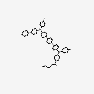 C=C/C=C\C=C(/C)c1ccc(N(c2ccc(C)cc2)c2ccc(-c3ccc(-c4ccc(N(c5ccc(C)cc5)c5ccc(-c6ccccc6)cc5)cc4)cc3)cc2)cc1